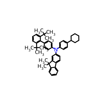 CC(C)(C)c1cccc(C(C)(C)C)c1-c1ccc(N(c2ccc(C3CCCCC3)cc2)c2ccc3c(c2)C(C)(C)c2ccccc2-3)cc1